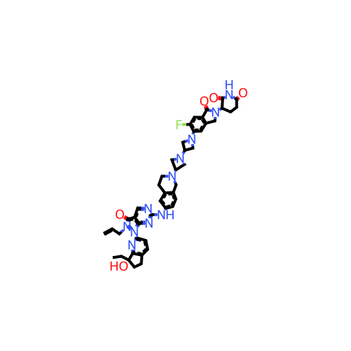 C=CCn1c(=O)c2cnc(Nc3ccc4c(c3)CCN(C3CN(C5CN(c6cc7c(cc6F)C(=O)N(C6CCC(=O)NC6=O)C7)C5)C3)C4)nc2n1-c1ccc2c(n1)[C@@](O)(CC)CC2